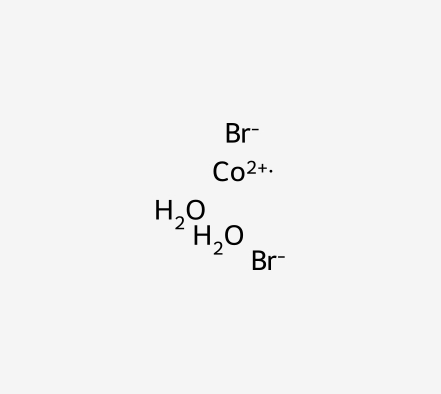 O.O.[Br-].[Br-].[Co+2]